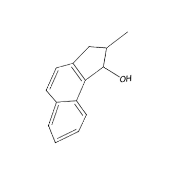 CC1Cc2ccc3ccccc3c2C1O